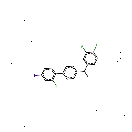 CC(c1ccc(-c2ccc(I)cc2F)cc1)c1ccc(F)c(F)c1